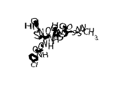 Cc1nnc(SCC2=C(C(=O)O)N3C(=O)C(NC(=O)C(=NOCC(=O)Nc4cccc(Cl)c4)c4csc(NC=O)n4)[C@@H]3SC2)s1